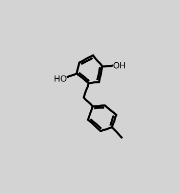 Cc1ccc(Cc2cc(O)ccc2O)cc1